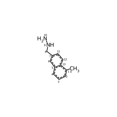 Cc1cccc2cc(CNN)ccc12